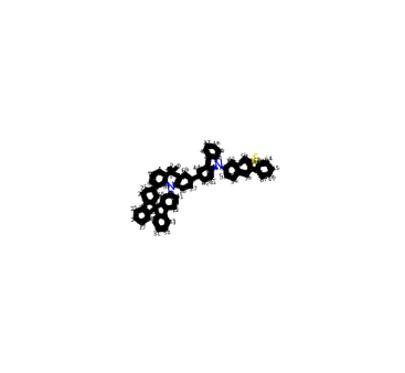 CC1(C)c2ccccc2N(c2ccc3c(c2)C2(c4ccccc4-c4ccccc42)c2ccccc2-3)c2ccc(-c3ccc4c(c3)c3ccccc3n4-c3ccc4cc5c(cc4c3)sc3ccccc35)cc21